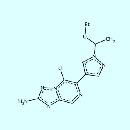 CCOC(C)n1cc(-c2ncc3nc(N)nn3c2Cl)cn1